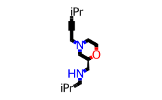 CC(C)C#CCN1CCO[C@@H](CNCC(C)C)C1